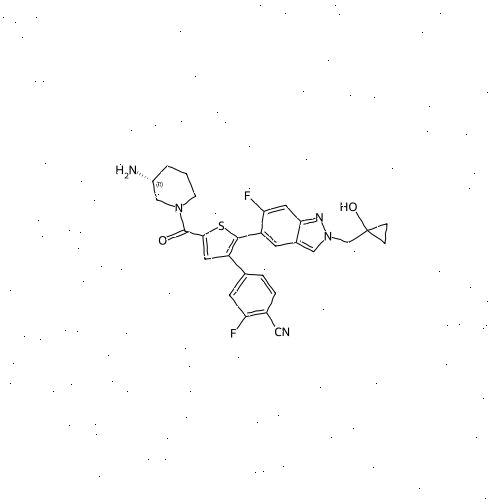 N#Cc1ccc(-c2cc(C(=O)N3CCC[C@@H](N)C3)sc2-c2cc3cn(CC4(O)CC4)nc3cc2F)cc1F